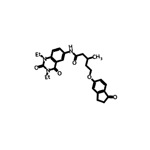 CCn1c(=O)c2cc(NC(=O)CC(C)CCOc3ccc4c(c3)CCC4=O)ccc2n(CC)c1=O